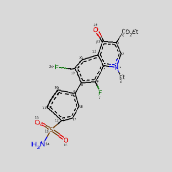 CCOC(=O)c1cn(CC)c2c(F)c(-c3ccc(S(N)(=O)=O)cc3)c(F)cc2c1=O